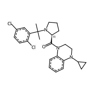 CC(C)(c1cc(Cl)ccc1Cl)N1CCC[C@H]1C(=O)N1CCN(C2CC2)c2ccccc21